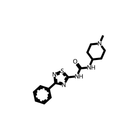 CN1CCC(NC(=O)Nc2nc(-c3ccccc3)ns2)CC1